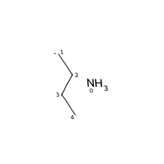 N.[CH2]CCC